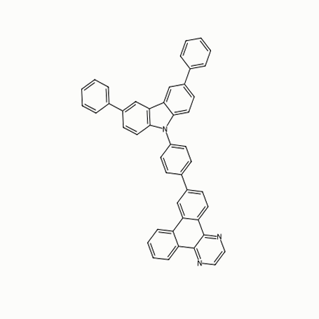 c1ccc(-c2ccc3c(c2)c2cc(-c4ccccc4)ccc2n3-c2ccc(-c3ccc4c(c3)c3ccccc3c3nccnc43)cc2)cc1